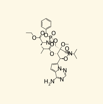 CCOC(=O)[C@H](C)NP(=O)(OC[C@@](C#N)(OC)[C@@H](OC(=O)C(C)C)[C@@H](OC(=O)C(C)C)c1ccc2c(N)ncnn12)Oc1ccccc1